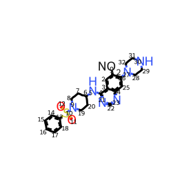 O=[N+]([O-])c1cc2c(NC3CCN(S(=O)(=O)c4ccccc4)CC3)ncnc2cc1N1CCNCC1